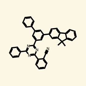 CC1(C)c2ccccc2-c2ccc(-c3cc(-c4ccccc4)cc(-c4nc(-c5ccccc5)nc(-c5ccccc5C#N)n4)c3)cc21